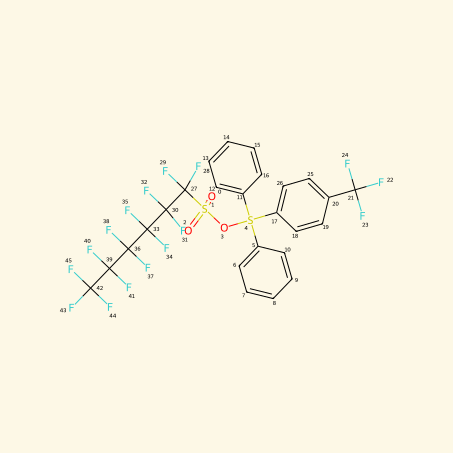 O=S(=O)(OS(c1ccccc1)(c1ccccc1)c1ccc(C(F)(F)F)cc1)C(F)(F)C(F)(F)C(F)(F)C(F)(F)C(F)(F)C(F)(F)F